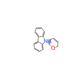 C1=CCOC=C1.c1ccc2c(c1)[nH]c1ccccc12